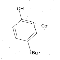 CC(C)(C)c1ccc(O)cc1.[Co]